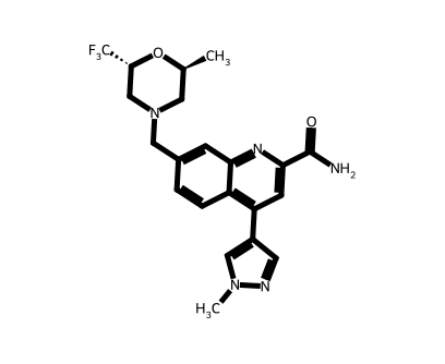 C[C@H]1CN(Cc2ccc3c(-c4cnn(C)c4)cc(C(N)=O)nc3c2)C[C@H](C(F)(F)F)O1